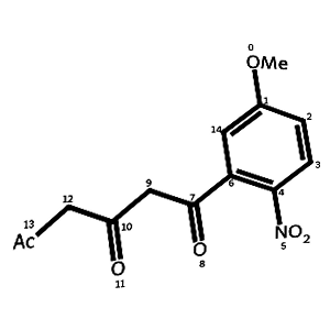 COc1ccc([N+](=O)[O-])c(C(=O)CC(=O)CC(C)=O)c1